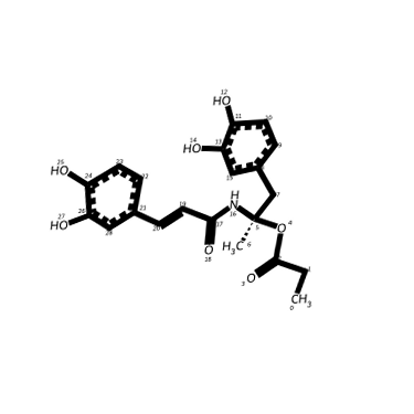 CCC(=O)O[C@](C)(Cc1ccc(O)c(O)c1)NC(=O)C=Cc1ccc(O)c(O)c1